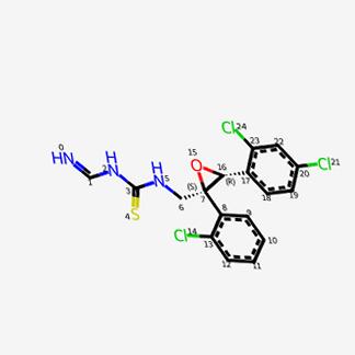 N=CNC(=S)NC[C@]1(c2ccccc2Cl)O[C@@H]1c1ccc(Cl)cc1Cl